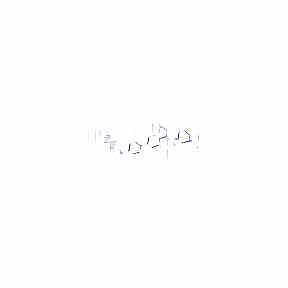 O=C(c1ccc(-c2cc(F)c3c(Nc4ccc5scnc5c4)ccnc3c2)c(F)c1)N1CC2(CNC2)C1